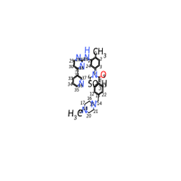 Cc1ccc(N(CS(=O)(=O)O)C(=O)c2ccc(CN3CCN(C)CC3)cc2)cc1Nc1nccc(-c2cccnc2)n1